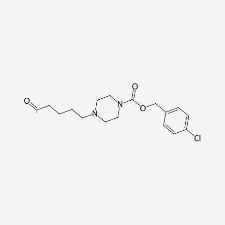 O=[C]CCCCN1CCN(C(=O)OCc2ccc(Cl)cc2)CC1